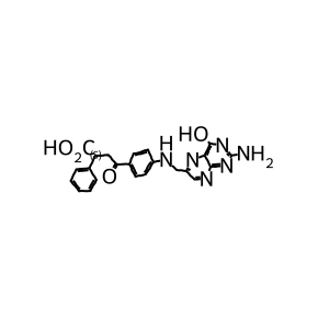 Nc1nc(O)c2nc(CNc3ccc(C(=O)C[C@H](C(=O)O)c4ccccc4)cc3)cnc2n1